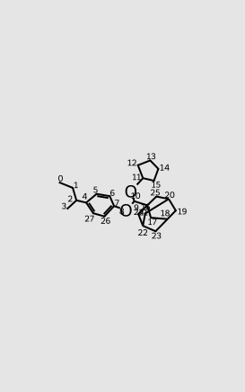 CCC(C)c1ccc(OC(OC2CCCC2)C23CC4CC(CC(C4)C2)C3)cc1